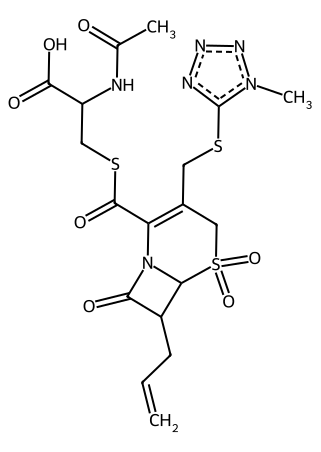 C=CCC1C(=O)N2C(C(=O)SCC(NC(C)=O)C(=O)O)=C(CSc3nnnn3C)CS(=O)(=O)C12